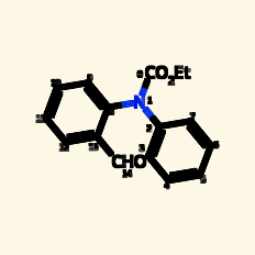 CCOC(=O)N(c1ccccc1)c1ccccc1C=O